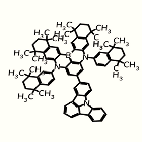 CC1(C)CCC(C)(C)c2cc(N3c4cc5c(cc4B4c6cc7c(cc6N(c6ccc8c(c6)C(C)(C)CCC8(C)C)c6cc(-c8ccc9c(c8)c8cccc%10c%11ccccc%11n9c%108)cc3c64)C(C)(C)CCC7(C)C)C(C)(C)CCC5(C)C)ccc21